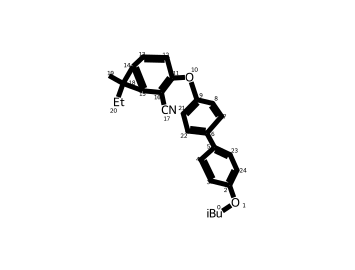 CCC(C)Oc1ccc(-c2ccc(Oc3ccc4c(c3C#N)C4(C)CC)cc2)cc1